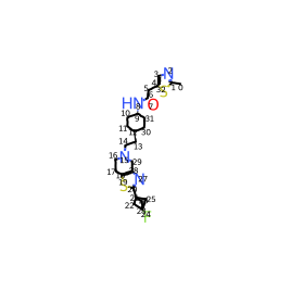 Cc1ncc(CC(=O)N[C@H]2CC[C@H](CCN3CCc4sc(C56CC(F)(C5)C6)nc4C3)CC2)s1